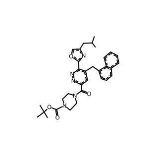 CC(C)Cc1coc(-c2nnc(C(=O)N3CCN(C(=O)OC(C)(C)C)CC3)cc2Cc2cccc3ccccc23)n1